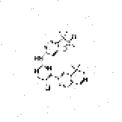 CC1(C)CN=Cc2ccc(-c3nc(Nc4ccc(C5(S(C)(=O)=O)CC5)cc4)ncc3Cl)cc21